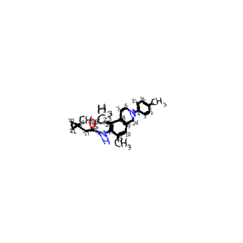 Cc1ccc(N2CCc3c(cc(C)c(NC(=O)CC4(C)CC4)c3C)C2)cc1